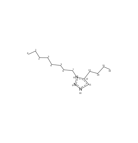 CCCCCCCCn1nncc1CCCC